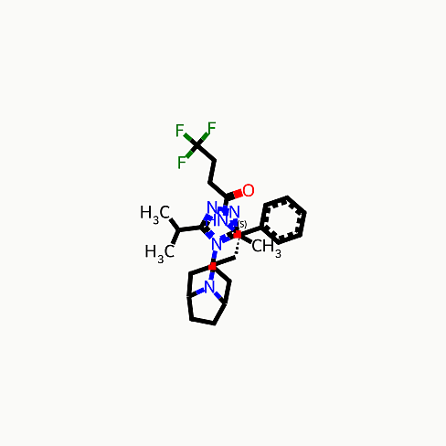 Cc1nnc(C(C)C)n1C1CC2CCC(C1)N2CC[C@H](NC(=O)CCC(F)(F)F)c1ccccc1